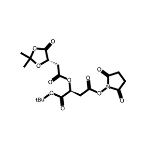 CC(C)(C)OC(=O)[C@H](CC(=O)ON1C(=O)CCC1=O)OC(=O)C[C@@H]1OC(C)(C)OC1=O